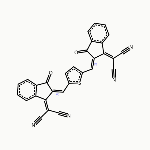 N#CC(C#N)=C1/C(=C/c2ccc(/C=C3\C(=O)c4ccccc4C3=C(C#N)C#N)s2)C(=O)c2ccccc21